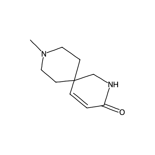 CN1CCC2(C=CC(=O)NC2)CC1